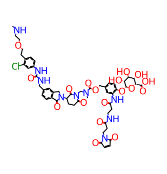 CNCCOCCc1ccc(NC(=O)NCc2ccc3c(c2)CN(C2CCC(=O)N(CN(C)C(=O)OCc4ccc(O[C@@H]5O[C@H](C(=O)O)[C@@H](O)[C@H](O)[C@H]5O)c(NC(=O)CCNC(=O)CCN5C(=O)C=CC5=O)c4)C2=O)C3=O)cc1Cl